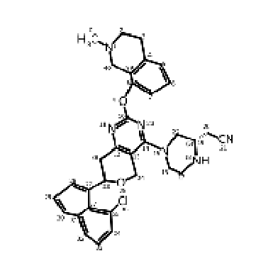 CN1CCc2cccc(Oc3nc4c(c(N5CCN[C@@H](CC#N)C5)n3)COC(c3cccc5cccc(Cl)c35)C4)c2C1